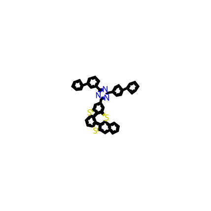 c1ccc(-c2ccc(-c3nc(-c4cccc(-c5ccccc5)c4)nc(-c4cc5sc6ccc7sc8cc9ccccc9c9sc(c4)c5c6c7c89)n3)cc2)cc1